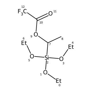 CCO[Si](OCC)(OCC)C(C)OC(=O)C(F)(F)F